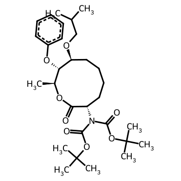 CC(C)CO[C@H]1CCCC[C@H](N(C(=O)OC(C)(C)C)C(=O)OC(C)(C)C)C(=O)O[C@@H](C)[C@@H]1Oc1ccccc1